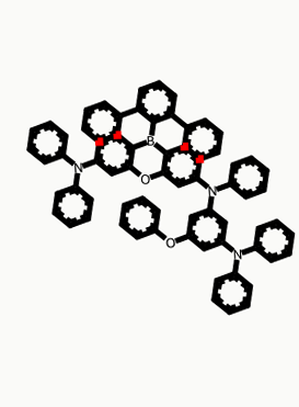 c1ccc(Oc2cc(N(c3ccccc3)c3ccccc3)cc(N(c3ccccc3)c3ccc4c(c3)Oc3cc(N(c5ccccc5)c5ccccc5)ccc3B4c3c(-c4ccccc4)cccc3-c3ccccc3)c2)cc1